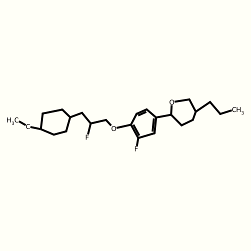 CCCC1CCC(c2ccc(OCC(F)CC3CCC(CC)CC3)c(F)c2)OC1